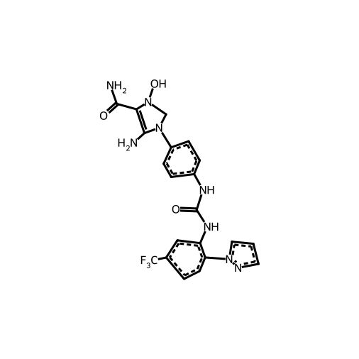 NC(=O)C1=C(N)N(c2ccc(NC(=O)Nc3cc(C(F)(F)F)ccc3-n3cccn3)cc2)CN1O